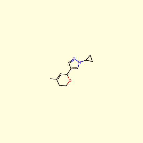 CC1=CC(c2cnn(C3CC3)c2)OCC1